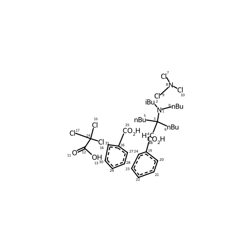 CCCCN(C(C)CC)C(C)(CCCC)CCCC.ClN(Cl)Cl.O=C(O)C(Cl)(Cl)Cl.O=C(O)c1ccccc1.O=C(O)c1ccccc1